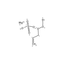 C=CCOOCC.O=S(=O)([O-])[O-].[Mg+2]